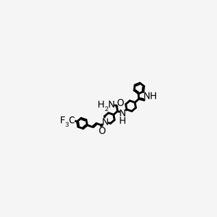 NC(=O)C(NC1CCC(c2c[nH]c3ccccc23)CC1)C1CCN(C(=O)/C=C/c2ccc(C(F)(F)F)cc2)CC1